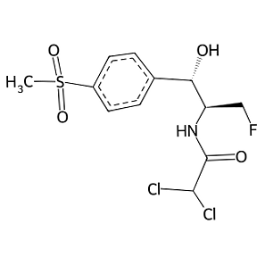 CS(=O)(=O)c1ccc([C@H](O)[C@@H](CF)NC(=O)C(Cl)Cl)cc1